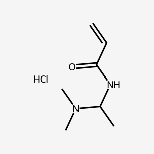 C=CC(=O)NC(C)N(C)C.Cl